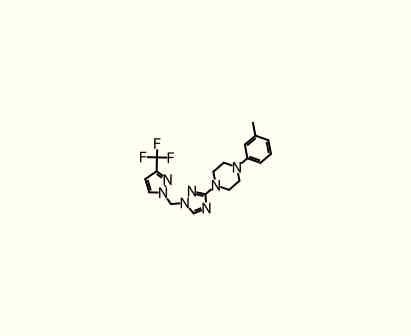 Cc1cccc(N2CCN(c3ncn(Cn4ccc(C(F)(F)F)n4)n3)CC2)c1